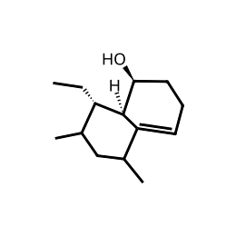 CC[C@H]1C(C)CC(C)C2=CCC[C@H](O)[C@@H]21